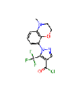 CN1CCOc2c1cccc2-n1ncc(C(=O)Cl)c1C(F)(F)F